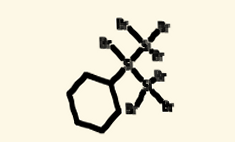 Br[Si](Br)(Br)[Si](Br)(C1CCCCC1)[Si](Br)(Br)Br